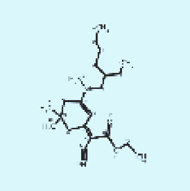 CCCCC(CC)CN(N)C1=C/C(=C(/C#N)C(=O)OCC)CC(C)(C)C1